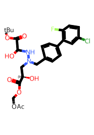 CC(=O)OCOC(=O)[C@H](O)CN(Cc1ccc(-c2cc(Cl)ccc2F)cc1)NC(O)C(=O)OC(C)(C)C